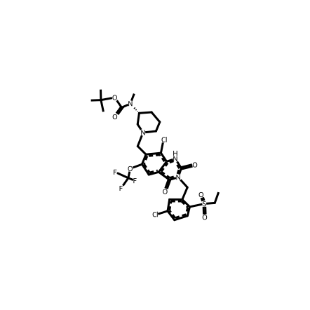 CCS(=O)(=O)c1ccc(Cl)cc1Cn1c(=O)[nH]c2c(Cl)c(CN3CCC[C@@H](N(C)C(=O)OC(C)(C)C)C3)c(OC(F)(F)F)cc2c1=O